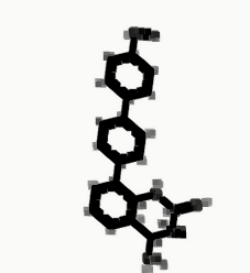 COc1ccc(-c2ccc(-c3cccc4c3OS(=O)NC4C)cc2)cc1